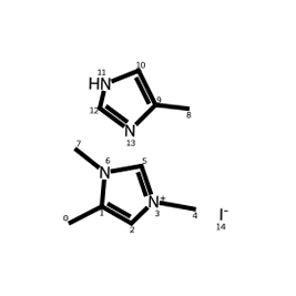 Cc1c[n+](C)cn1C.Cc1c[nH]cn1.[I-]